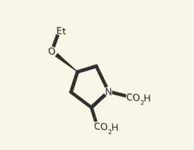 CCO[C@@H]1CC(C(=O)O)N(C(=O)O)C1